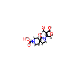 O=CC1=C(N2CCC3(CCN(C(=O)O)CC3)C2=O)COC1=O